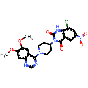 COc1cc2ncnc(N3CCC(n4c(=O)[nH]c5c(Cl)cc([N+](=O)[O-])cc5c4=O)CC3)c2cc1OC